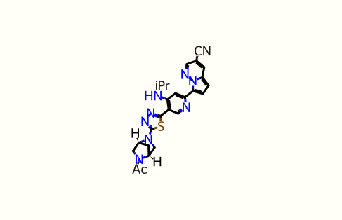 CC(=O)N1C[C@@H]2C[C@H]1CN2c1nnc(-c2cnc(-c3ccc4cc(C#N)cnn34)cc2NC(C)C)s1